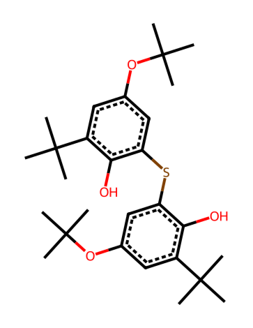 CC(C)(C)Oc1cc(Sc2cc(OC(C)(C)C)cc(C(C)(C)C)c2O)c(O)c(C(C)(C)C)c1